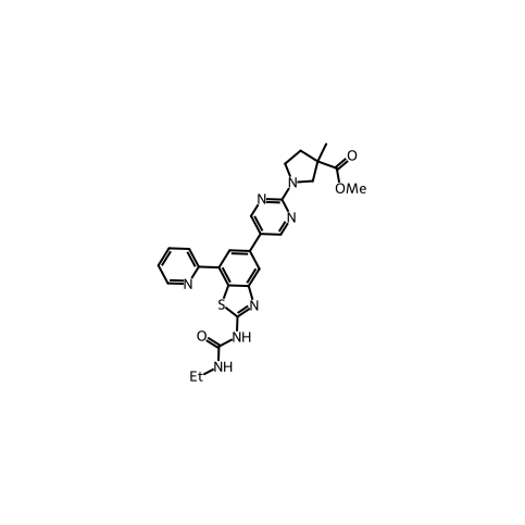 CCNC(=O)Nc1nc2cc(-c3cnc(N4CCC(C)(C(=O)OC)C4)nc3)cc(-c3ccccn3)c2s1